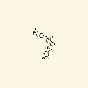 COc1ccc(C(=O)Nc2cccc3c(=O)n(Cc4ccc(OC(F)(F)F)cc4)ccc23)cc1C